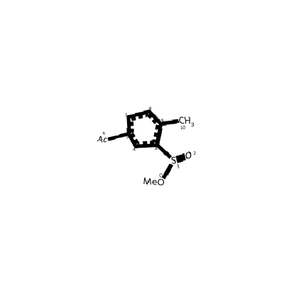 COS(=O)c1cc(C(C)=O)ccc1C